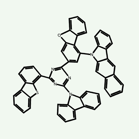 c1ccc2cc3c(cc2c1)c1ccccc1n3-c1cc(-c2nc(-c3cccc4c3sc3ccccc34)nc(-n3c4ccccc4c4ccccc43)n2)cc2oc3ccccc3c12